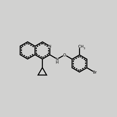 Cc1cc(Br)ccc1ONc1ncc2ccccc2c1C1CC1